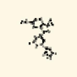 CC(=O)Nc1cc2c(cn1)C1(CC1)CN2c1cc(C)nc(-c2cc[nH]n2)n1